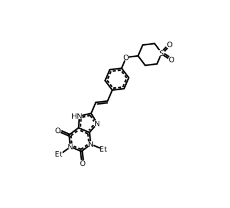 CCn1c(=O)c2[nH]c(C=Cc3ccc(OC4CCS(=O)(=O)CC4)cc3)nc2n(CC)c1=O